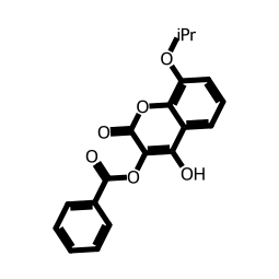 CC(C)Oc1cccc2c(O)c(OC(=O)c3ccccc3)c(=O)oc12